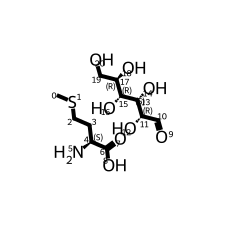 CSCC[C@H](N)C(=O)O.O=C[C@H](O)[C@@H](O)[C@H](O)[C@H](O)CO